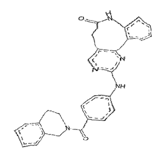 O=C1Cc2cnc(Nc3ccc(C(=O)N4CCc5ccccc5C4)cc3)nc2-c2ccccc2N1